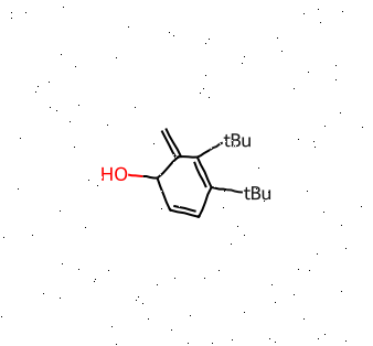 C=C1C(C(C)(C)C)=C(C(C)(C)C)C=CC1O